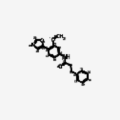 COc1cc(NC(=O)CCc2ccccc2)ccc1-c1cnco1